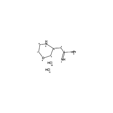 CCCC(=N)CC1COCCN1.Cl.Cl